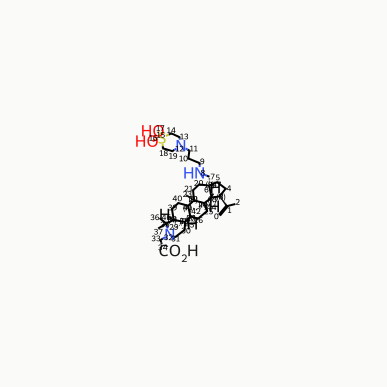 C=C(C)[C@@H]1CC[C@]2(CNCCCN3CCS(O)(O)CC3)CC[C@]3(C)[C@H](CC[C@@H]4[C@@]5(C)CCN(CC(=O)O)C(C)(C)[C@@H]5CC[C@]43C)[C@@H]12